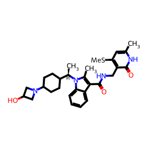 CSc1cc(C)[nH]c(=O)c1CNC(=O)c1c(C)n([C@H](C)C2CCC(N3CC(O)C3)CC2)c2ccccc12